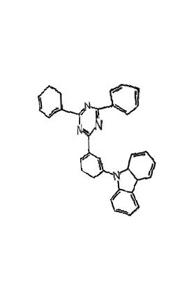 C1=CCCC(c2nc(C3=CCCC(N4c5ccccc5C5C=CC=CC54)=C3)nc(-c3ccccc3)n2)=C1